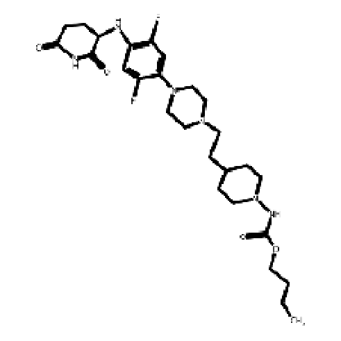 CCCCOC(=O)NN1CCC(CCN2CCN(c3cc(F)c(NC4CCC(=O)NC4=O)cc3F)CC2)CC1